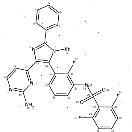 CCn1c(-c2ccccc2)nc(-c2ccnc(N)n2)c1-c1cccc(NS(=O)(=O)c2c(F)cccc2F)c1F